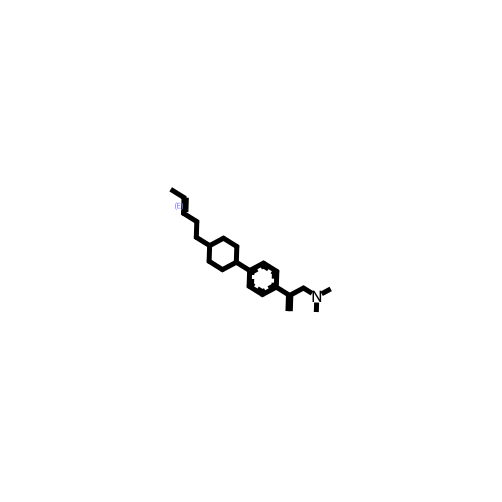 C=C(CN(C)C)c1ccc(C2CCC(CC/C=C/C)CC2)cc1